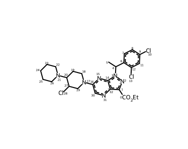 CCOC(=O)c1nn(C(C)c2ccc(Cl)cc2Cl)c2nc(N3CCC(N4CCCCC4)C(Cl)C3)cnc12